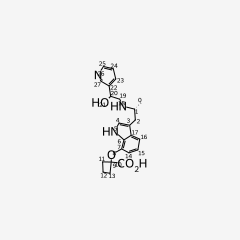 C[C@H](Cc1c[nH]c2c(OC3(C(=O)O)CCC3)cccc12)NC[C@@H](O)c1cccnc1